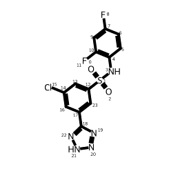 O=S(=O)(Nc1ccc(F)cc1F)c1cc(Cl)cc(-c2nn[nH]n2)c1